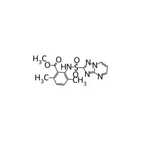 COC(=O)c1c(C)ccc(C)c1NS(=O)(=O)c1nc2ncccn2n1